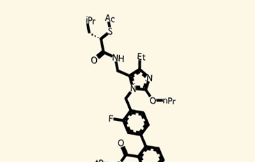 CCCOc1nc(CC)c(CNC(=O)[C@H](CC(C)C)SC(C)=O)n1Cc1ccc(-c2ccccc2C(=O)OC(C)(C)C)cc1F